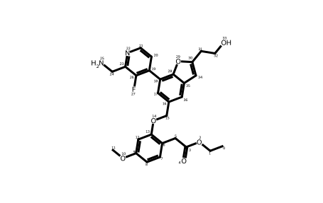 CCOC(=O)Cc1ccc(OC)cc1OCc1cc(-c2ccnc(CN)c2F)c2oc(CCO)cc2c1